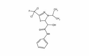 CC(C)N1N=C(C(F)(Cl)Cl)SC1C(O)C(=O)Nc1ccccc1